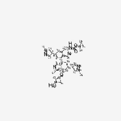 Cc1ncc2c(-c3cc(-c4cnn(C)c4)cc4cc(NC(=O)OC5(C)CC5)ncc34)cc(-c3cnn(C)c3)cc2c1O[C@H]1C[C@H](O)C1